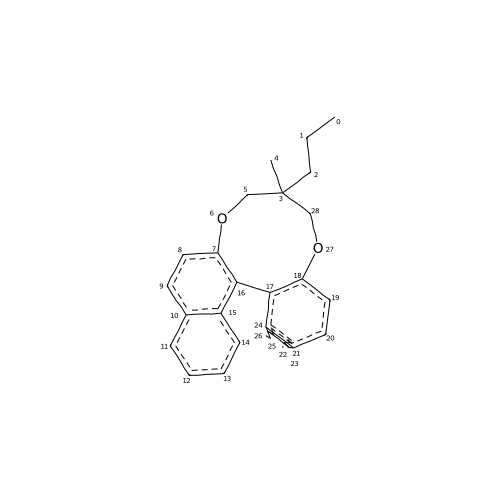 CCCC1(C)COc2ccc3ccccc3c2-c2c(ccc3ccccc23)OC1